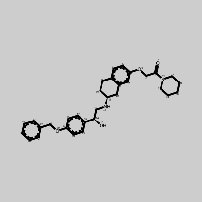 O=C(COc1ccc2c(c1)C[C@@H](NC[C@@H](O)c1ccc(OCc3ccccc3)cc1)CC2)N1CCCCC1